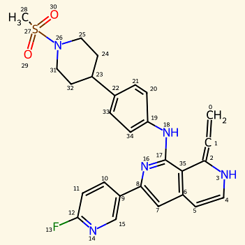 C=C=C1NC=Cc2cc(-c3ccc(F)nc3)nc(Nc3ccc(C4CCN(S(C)(=O)=O)CC4)cc3)c21